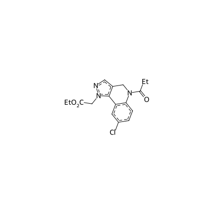 CCOC(=O)Cn1ncc2c1-c1cc(Cl)ccc1N(C(=O)CC)C2